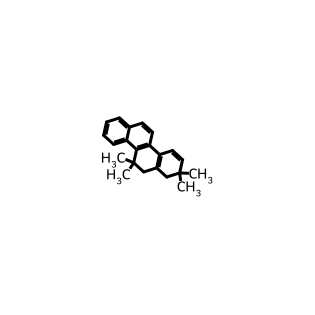 CC1(C)C=CC2=C(C1)CC(C)(C)c1c2ccc2ccccc12